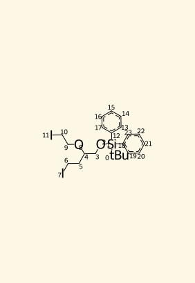 CC(C)(C)[Si](OCC(CCI)OCCI)(c1ccccc1)c1ccccc1